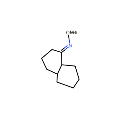 CON=C1CCCC2CCCCC12